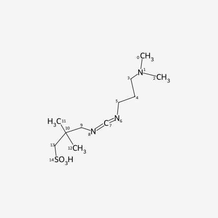 CN(C)CCCN=C=NCC(C)(C)CS(=O)(=O)O